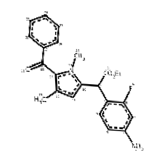 CCOC(=O)C(c1ccc([N+](=O)[O-])cc1F)c1cc(C)c(C(=O)c2ccccc2)n1C